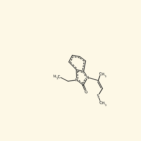 CCn1c(=O)n(/C(C)=C\SC)c2ccccc21